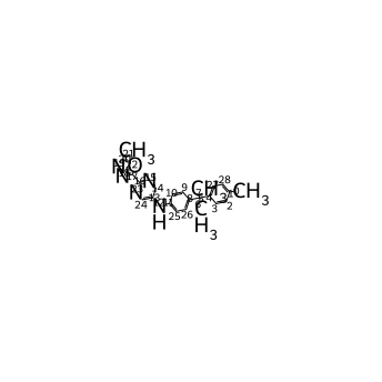 Cc1ccc(C(C)(C)c2ccc(Nc3cnc(-c4nnc(C)o4)nc3)cc2)cc1